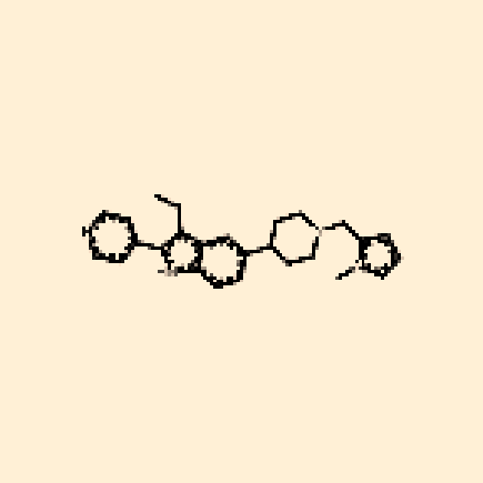 CCc1c(-c2ccncc2)[nH]c2ccc(C3CCN(Cc4cccn4C)CC3)cc12